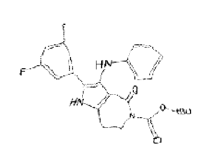 CC(C)(C)OC(=O)N1CCc2[nH]c(-c3cc(F)cc(F)c3)c(Nc3ccccc3)c2C1=O